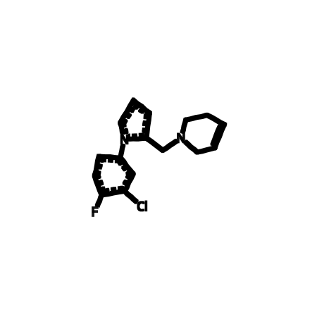 Fc1ccc(-n2cccc2CN2CC=CCC2)cc1Cl